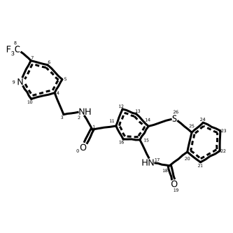 O=C(NCc1ccc(C(F)(F)F)nc1)c1ccc2c(c1)NC(=O)c1ccccc1S2